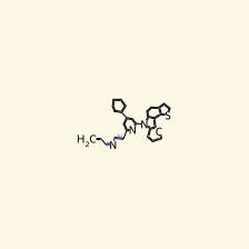 C=C/C=N\C=C\c1cc(-c2ccccc2)cc(-n2c3ccccc3c3c4sccc4ccc32)n1